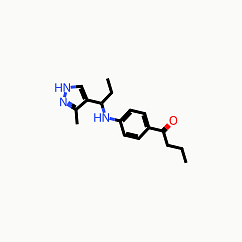 CCCC(=O)c1ccc(NC(CC)c2c[nH]nc2C)cc1